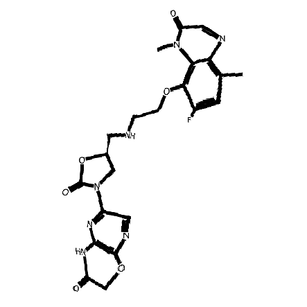 Cc1cc(F)c(OCCNC[C@H]2CN(c3cnc4c(n3)NC(=O)CO4)C(=O)O2)c2c1ncc(=O)n2C